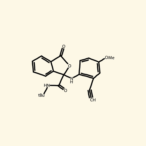 C#Cc1cc(OC)ccc1NC1(C(=O)NC(C)(C)C)OC(=O)c2ccccc21